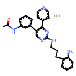 CC(=O)Nc1cccc(-c2cnc(NCCCc3ccccc3N)nc2-c2ccncc2)c1.Cl